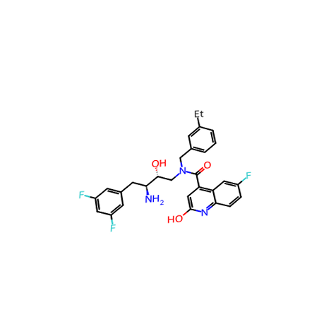 CCc1cccc(CN(C[C@@H](O)[C@@H](N)Cc2cc(F)cc(F)c2)C(=O)c2cc(O)nc3ccc(F)cc23)c1